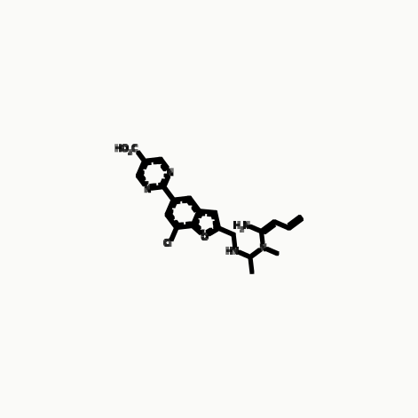 C=C/C=C(/N)N(C)C(C)NCc1cc2cc(-c3ncc(C(=O)O)cn3)cc(Cl)c2o1